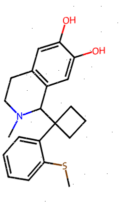 CSc1ccccc1C1(C2c3cc(O)c(O)cc3CCN2C)CCC1